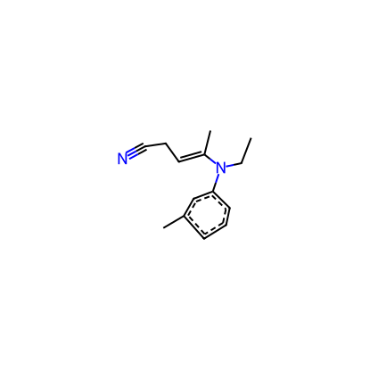 CCN(C(C)=CCC#N)c1cccc(C)c1